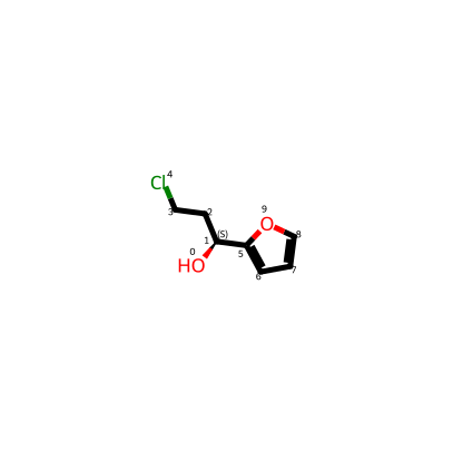 O[C@@H](CCCl)c1ccco1